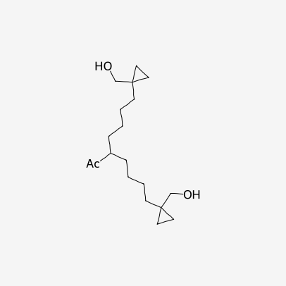 CC(=O)C(CCCCC1(CO)CC1)CCCCC1(CO)CC1